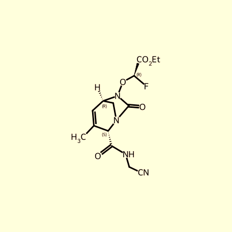 CCOC(=O)[C@@H](F)ON1C(=O)N2C[C@H]1C=C(C)[C@H]2C(=O)NCC#N